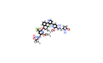 COc1nc(-c2ccnc(-c3cccc4c3CCC[C@H]4Oc3nc(OC)c(CNCC(C)O)cc3C(F)(F)F)c2Cl)ccc1CNC[C@@H]1CCC(=O)N1